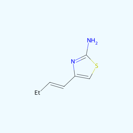 CCC=Cc1csc(N)n1